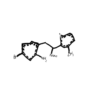 CNC(Cc1ccc(Br)cc1N)c1sccc1C